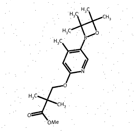 COC(=O)C(C)(C)COc1cc(C)c(B2OC(C)(C)C2(C)C)cn1